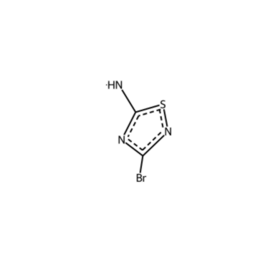 [NH]c1nc(Br)ns1